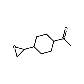 C[Si](=O)C1CCC(C2CO2)CC1